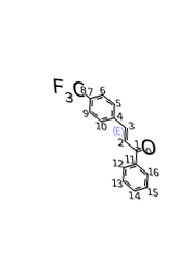 O=C(/C=C/c1ccc(C(F)(F)F)cc1)c1ccccc1